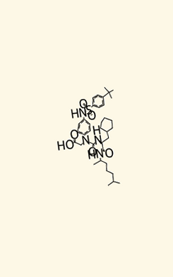 CC(C)CCCC(C)NC(=O)C(CC1CCCCC1)NC(=O)N(CC(=O)O)c1ccc(NS(=O)(=O)c2ccc(C(C)(C)C)cc2)cc1